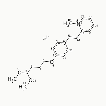 COC(CCCOc1ccc(C=Cc2cccc[n+]2C)cc1)OC.[I-]